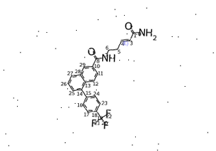 NC(=O)/C=C/CCNC(=O)c1ccc2c(-c3ccc(C(F)(F)F)cc3)cccc2c1